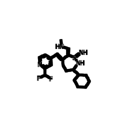 CN/C=C1\C(=C\c2ccnc(C(F)F)c2)CCC(C2CCCCC2)NS1=N